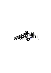 CN/C=C(\C=N)c1cccc(NC(=O)c2cc3oc(N4CCOCC4)nc3nc2N2CC3(CCCN3C)C2)n1